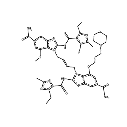 CCc1nc(C)sc1C(=O)Nc1nc2cc(C(N)=O)cc(OCCCN3CCOCC3)c2n1C/C=C/Cn1c(NC(=O)c2c(F)c(C)nn2CC)nc2cc(C(N)=O)cc(SC)c21